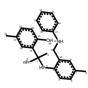 CCCC(C)(Pc1ccc(C)cc1CNc1ccccc1)c1cc(C)ccc1O